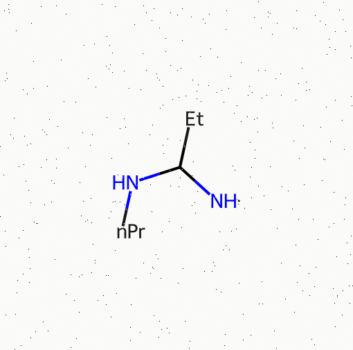 CCCNC([NH])CC